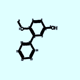 COc1ccc(O)cc1-c1ccccc1